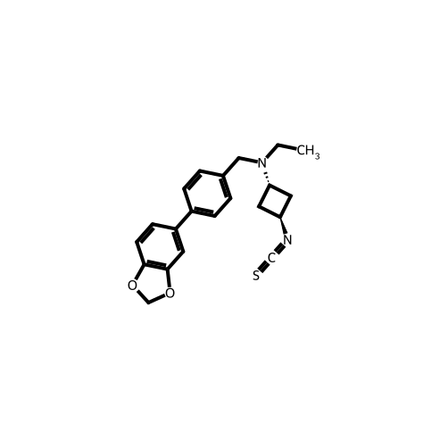 CCN(Cc1ccc(-c2ccc3c(c2)OCO3)cc1)[C@H]1C[C@H](N=C=S)C1